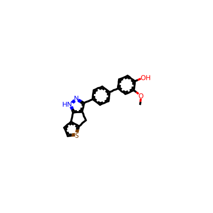 COc1cc(-c2ccc(-c3n[nH]c4c3Cc3sccc3-4)cc2)ccc1O